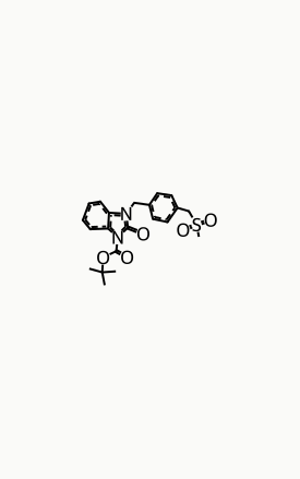 CC(C)(C)OC(=O)n1c(=O)n(Cc2ccc(CS(C)(=O)=O)cc2)c2ccccc21